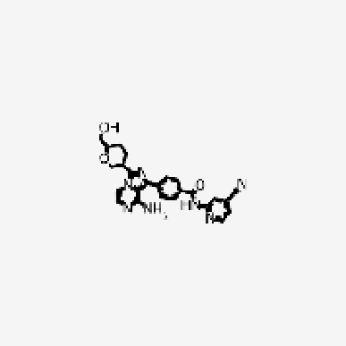 N#Cc1ccnc(NC(=O)c2ccc(-c3nc(C4CCC(CO)OC4)n4ccnc(N)c34)cc2)c1